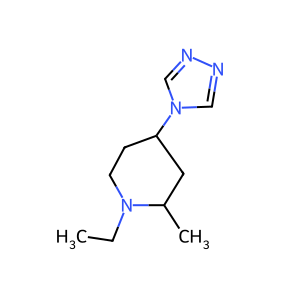 CCN1CCC(n2cnnc2)CC1C